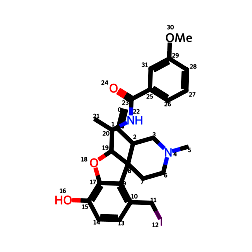 C=CC1CN(C)CCC12c1c(CI)ccc(O)c1OC2C(C)NC(=O)c1cccc(OC)c1